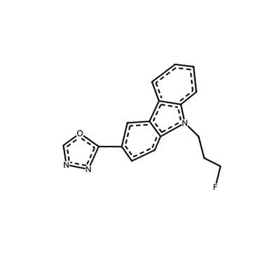 FCCCn1c2ccccc2c2cc(-c3nnco3)ccc21